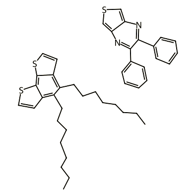 CCCCCCCCc1c(CCCCCCCC)c2ccsc2c2sccc12.c1ccc(-c2nc3cscc3nc2-c2ccccc2)cc1